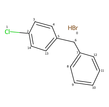 Br.Clc1ccc(Cc2ccccc2)cc1